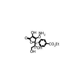 CCOC(=O)c1ccc([C@]2([C@@H](O)CO)OC(=O)C(O)=C2ON)cc1